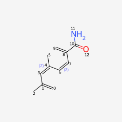 C=C(C)/C=C(C)\C=C/C(=C)C(N)=O